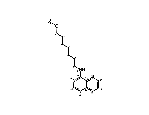 CC(C)OCCCCCCCNc1ncnc2ccccc12